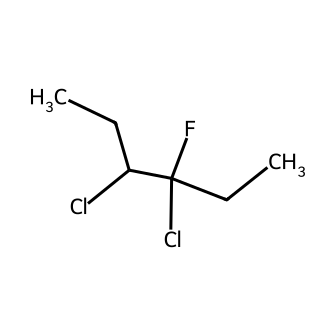 CCC(Cl)C(F)(Cl)CC